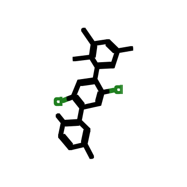 Cc1ccc(C)c(-c2cc(Cl)c(-c3cc(C)cc(C)c3C)cc2Cl)c1